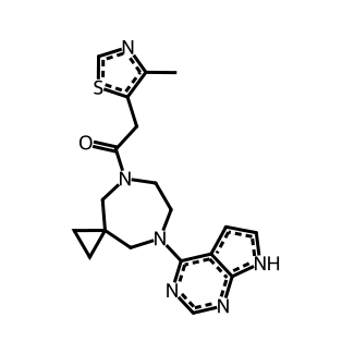 Cc1ncsc1CC(=O)N1CCN(c2ncnc3[nH]ccc23)CC2(CC2)C1